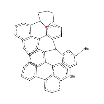 CC(C)(C)c1cc(N(c2ccccc2-c2cccc3cccc(-c4ccccc4)c23)c2ccccc2-c2cccc3cccc(C4CCCCC4)c23)cc(C(C)(C)C)c1